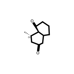 C[C@H]1CC(=O)CC2CCCC(=O)C21